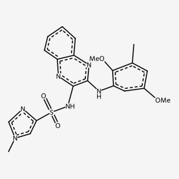 COc1cc(C)c(OC)c(Nc2nc3ccccc3nc2NS(=O)(=O)c2cn(C)cn2)c1